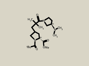 COC(=O)[C@H]1CC(CC(C)(C)C(=O)N2CC[C@@H](N(C)C)C2)CN1C(=O)C(C)(C)C